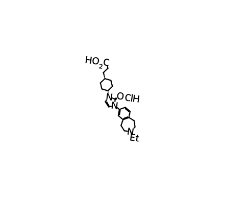 CCN1CCc2ccc(-n3ccn([C@H]4CC[C@H](CCC(=O)O)CC4)c3=O)cc2CC1.Cl